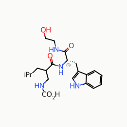 CC(C)CC(CNC(=O)O)C(=O)N[C@@H](Cc1c[nH]c2ccccc12)C(=O)NCCO